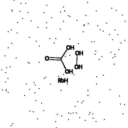 O=C(O)O.OO.[RbH]